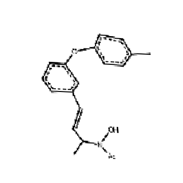 CC(=O)N(O)C(C)C=Cc1cccc(Oc2ccc(C)cc2)c1